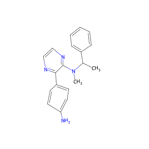 CC(c1ccccc1)N(C)c1nccnc1-c1ccc(N)cc1